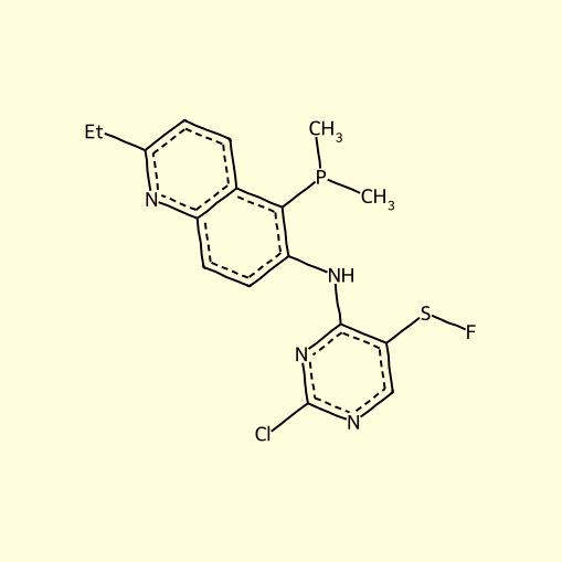 CCc1ccc2c(P(C)C)c(Nc3nc(Cl)ncc3SF)ccc2n1